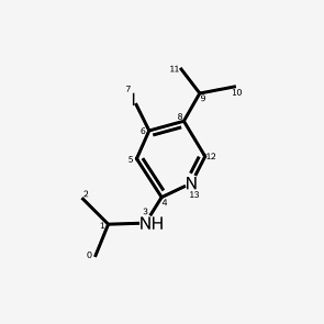 CC(C)Nc1cc(I)c(C(C)C)cn1